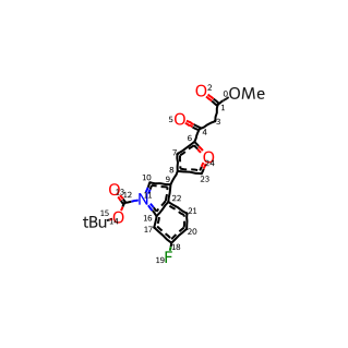 COC(=O)CC(=O)c1cc(-c2cn(C(=O)OC(C)(C)C)c3cc(F)ccc23)co1